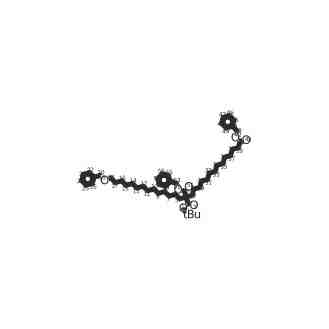 CC(C)(C)OC(=O)C(CCCCCCCCCCCCCCOCc1ccccc1)(CCCCCCCCCCCCCC(=O)OCc1ccccc1)C(=O)OCc1ccccc1